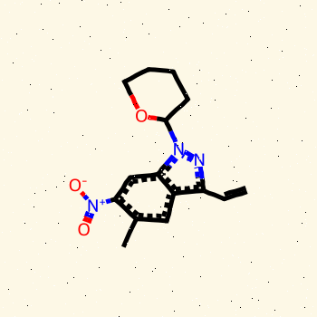 C=Cc1nn(C2CCCCO2)c2cc([N+](=O)[O-])c(C)cc12